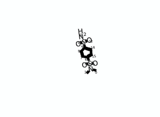 CN(C)S(=O)(=O)c1ccc(S(N)(=O)=O)cc1